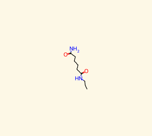 CCCNC(=O)CCCCC(N)=O